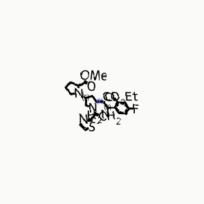 C=C(c1nccs1)N1C[C@@H](N2CCCC2C(=O)OC)C/C1=C(\C(=O)OCC)[C@@H](N)c1ccc(F)cc1Cl